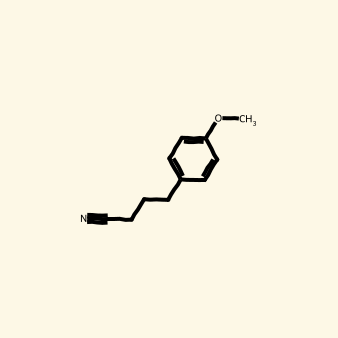 COc1ccc(CCCC#N)cc1